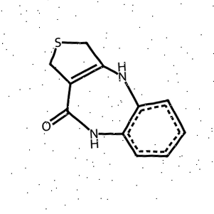 O=C1Nc2ccccc2NC2=C1CSC2